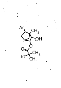 CCC(C)(C)C(=O)OC1C2CC(C(C)=O)C(C)(C2)C1O